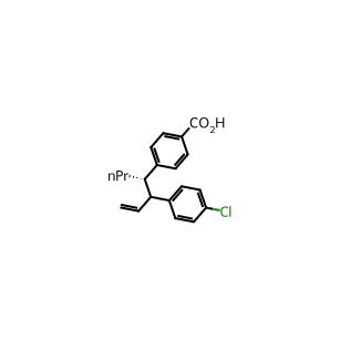 C=CC(c1ccc(Cl)cc1)[C@H](CCC)c1ccc(C(=O)O)cc1